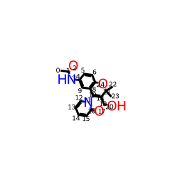 CC(=O)Nc1ccc2c(c1)C(n1ccccc1=O)=C(CO)C(C)(C)O2